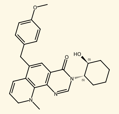 COc1ccc(Cc2cc3c(=O)n([C@H]4CCCC[C@@H]4O)cnc3c3c2C=CCN3C)cc1